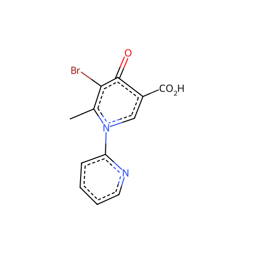 Cc1c(Br)c(=O)c(C(=O)O)cn1-c1ccccn1